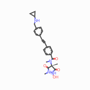 CNC(=O)[C@@](C)(C(=O)NO)N(C)C(=O)c1ccc(C#Cc2ccc(CNC3CC3)cc2)cc1